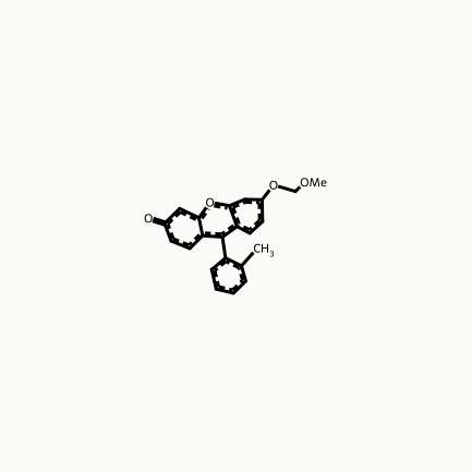 COCOc1ccc2c(-c3ccccc3C)c3ccc(=O)cc-3oc2c1